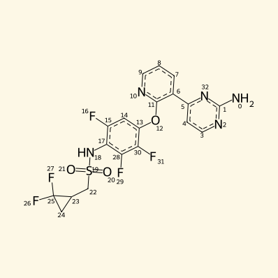 Nc1nccc(-c2cccnc2Oc2cc(F)c(NS(=O)(=O)CC3CC3(F)F)c(F)c2F)n1